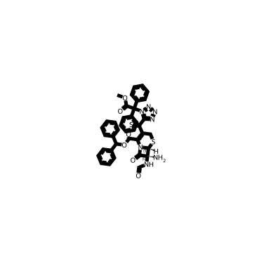 COC(=O)C(c1ccccc1)(c1ccccc1)n1nnnc1C(=S)C1=C(C(=O)OC(c2ccccc2)c2ccccc2)N2C(=O)[C@](N)(NC=O)[C@@H]2SC1